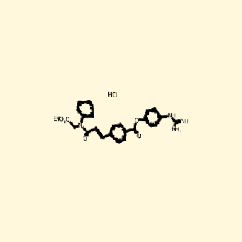 CCOC(=O)CN(C(=O)C=Cc1ccc(C(=O)Oc2ccc(NC(=N)N)cc2)cc1)c1ccccc1.Cl